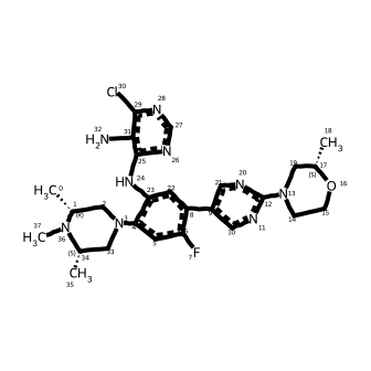 C[C@@H]1CN(c2cc(F)c(-c3cnc(N4CCO[C@@H](C)C4)nc3)cc2Nc2ncnc(Cl)c2N)C[C@H](C)N1C